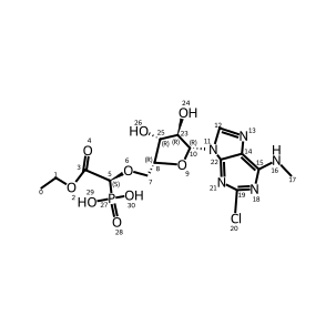 CCOC(=O)[C@@H](OC[C@H]1O[C@@H](n2cnc3c(NC)nc(Cl)nc32)[C@H](O)[C@H]1O)P(=O)(O)O